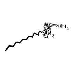 CCCCCCCCCCCC[SiH](Cl)[SiH2][SiH2][SiH2][SiH3]